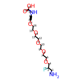 NCC(F)COCCOCCOCCOCCOC#CNC(=O)O